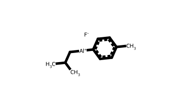 Cc1cc[c]([Al+][CH2]C(C)C)cc1.[F-]